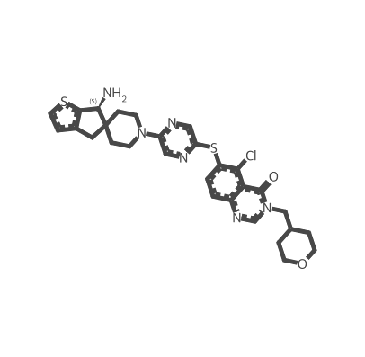 N[C@@H]1c2sccc2CC12CCN(c1cnc(Sc3ccc4ncn(CC5CCOCC5)c(=O)c4c3Cl)cn1)CC2